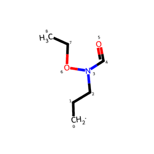 [CH2]CCN(C=O)OCC